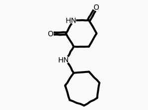 O=C1CCC(NC2CCCCCC2)C(=O)N1